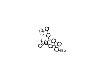 CC(C)(C)c1ccc2c(c1)C1(c3ccccc3-c3ccc(N(c4ccc(-c5ccccc5C56CC7CC(CC(C7)C5)C6)cc4)c4ccc5c(c4)C(C)(C)c4ccccc4-5)cc31)c1cc(C(C)(C)C)ccc1-2